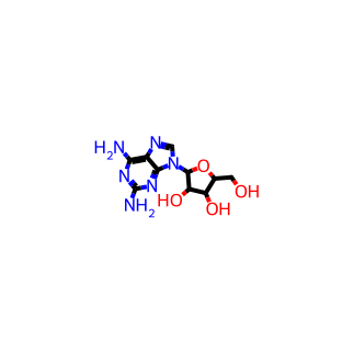 Nc1nc(N)c2ncn(C3OC(CO)C(O)C3O)c2n1